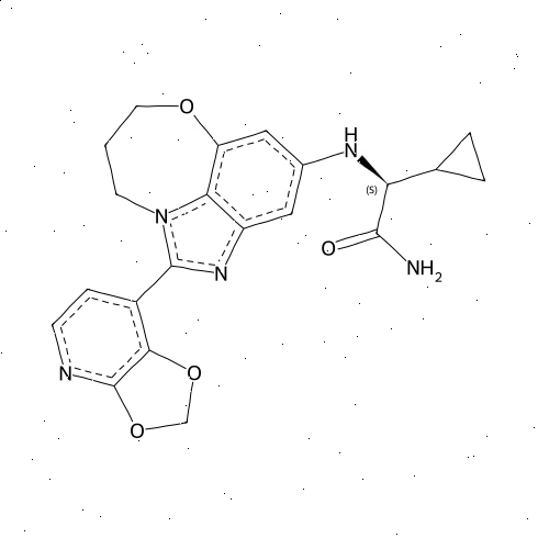 NC(=O)[C@@H](Nc1cc2c3c(c1)nc(-c1ccnc4c1OCO4)n3CCCO2)C1CC1